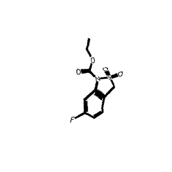 CCOC(=O)N1c2cc(F)ccc2CS1(=O)=O